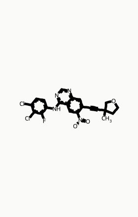 CC1(C#Cc2cc3ncnc(Nc4ccc(Cl)c(Cl)c4F)c3cc2[N+](=O)[O-])CCOC1